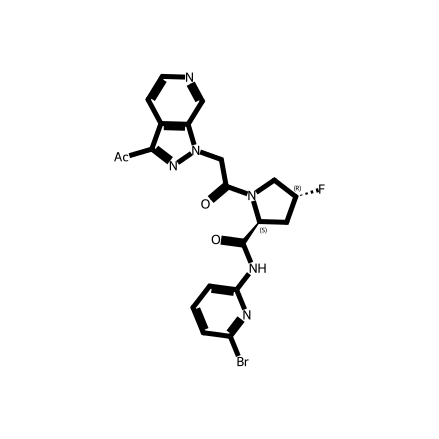 CC(=O)c1nn(CC(=O)N2C[C@H](F)C[C@H]2C(=O)Nc2cccc(Br)n2)c2cnccc12